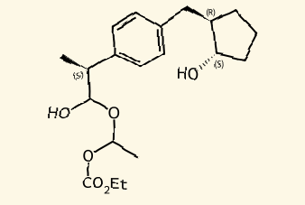 CCOC(=O)OC(C)OC(O)[C@@H](C)c1ccc(C[C@H]2CCC[C@@H]2O)cc1